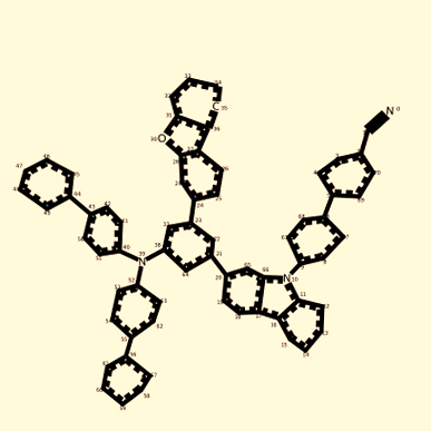 N#Cc1ccc(-c2ccc(-n3c4ccccc4c4ccc(-c5cc(-c6ccc7c(c6)oc6ccccc67)cc(N(c6ccc(-c7ccccc7)cc6)c6ccc(-c7ccccc7)cc6)c5)cc43)cc2)cc1